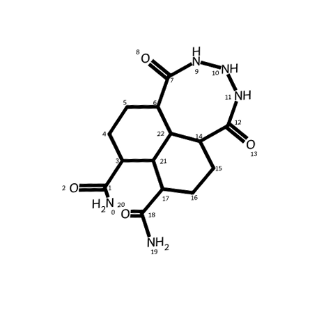 NC(=O)C1CCC2C(=O)NNNC(=O)C3CCC(C(N)=O)C1C23